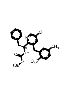 Cc1ccc(S(=O)(=O)O)c(Cc2cc(Cl)cnc2[C@H](Cc2ccccc2)NC(=O)OC(C)(C)C)c1